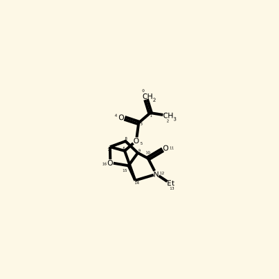 C=C(C)C(=O)OC1C2CC3C(=O)N(CC)C1C3O2